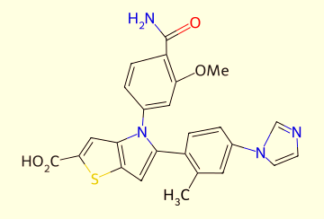 COc1cc(-n2c(-c3ccc(-n4ccnc4)cc3C)cc3sc(C(=O)O)cc32)ccc1C(N)=O